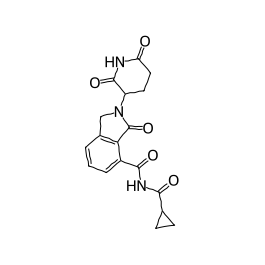 O=C1CCC(N2Cc3cccc(C(=O)NC(=O)C4CC4)c3C2=O)C(=O)N1